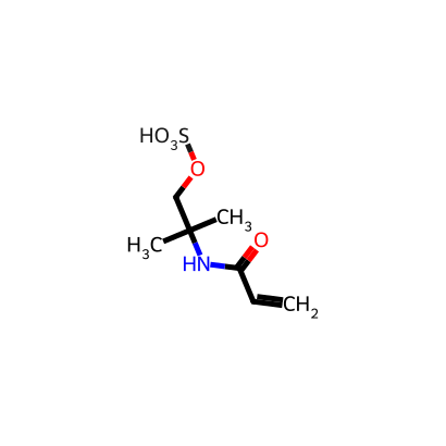 C=CC(=O)NC(C)(C)COS(=O)(=O)O